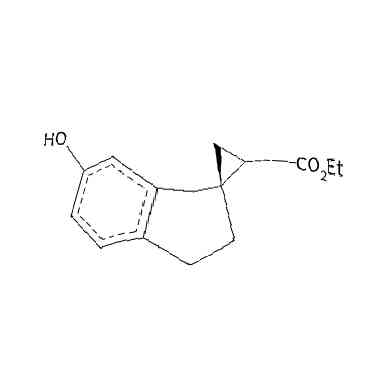 CCOC(=O)C1C[C@]12CCc1ccc(O)cc12